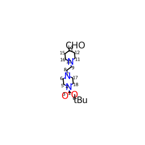 CC(C)(C)OC(=O)N1CCN(CCN2CCC(C=O)CC2)CC1